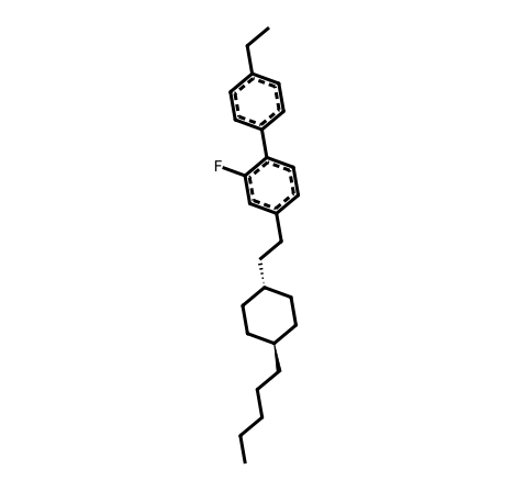 CCCCC[C@H]1CC[C@H](CCc2ccc(-c3ccc(CC)cc3)c(F)c2)CC1